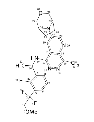 COCC(F)(F)c1cccc([C@@H](C)Nc2nnc(C(F)(F)F)c3ncc(N4C5CCC4COC5)cc23)c1F